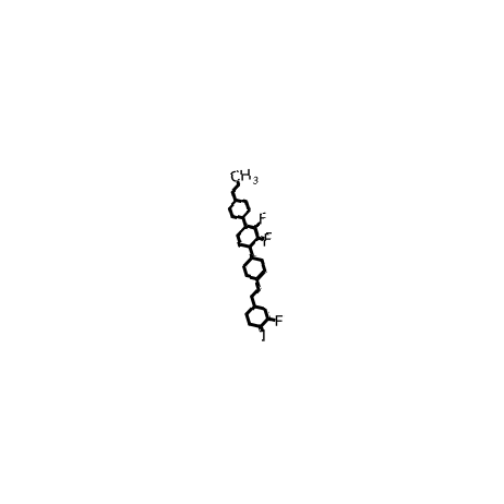 CCCC1CCC(C2CCC(C3CCC(CCC4CCC(I)C(F)C4)CC3)C(F)C2F)CC1